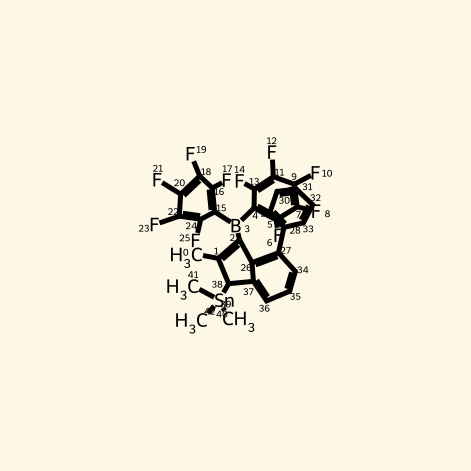 CC1=C(B(c2c(F)c(F)c(F)c(F)c2F)c2c(F)c(F)c(F)c(F)c2F)c2c(-c3ccccc3)cccc2[CH]1[Sn]([CH3])([CH3])[CH3]